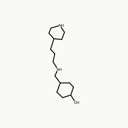 OC1CCC(CNCCCC2CCNCC2)CC1